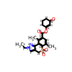 CCn1cc2c(n1)-c1c(C)c(C(=O)OC3=CC(=O)CCC3)cc(C)c1S(=O)(=O)C2